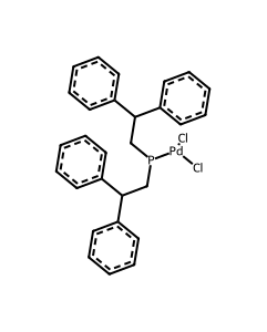 [Cl][Pd]([Cl])[P](CC(c1ccccc1)c1ccccc1)CC(c1ccccc1)c1ccccc1